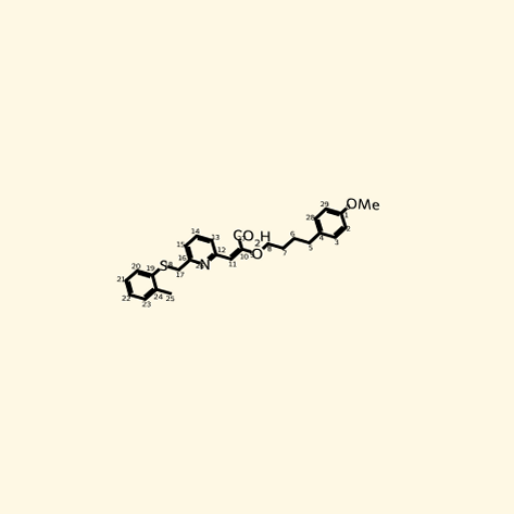 COc1ccc(CCCCO/C(=C/c2cccc(CSc3ccccc3C)n2)C(=O)O)cc1